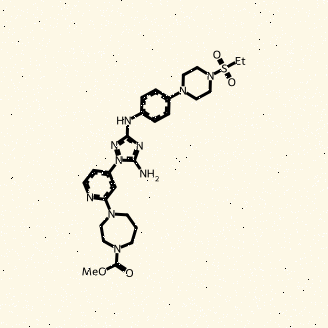 CCS(=O)(=O)N1CCN(c2ccc(Nc3nc(N)n(-c4ccnc(N5CCCN(C(=O)OC)CC5)c4)n3)cc2)CC1